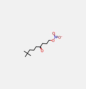 CC(C)(C)CCCC(=O)CCCO[N+](=O)[O-]